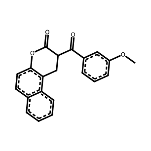 COc1cccc(C(=O)C2Cc3c(ccc4ccccc34)OC2=O)c1